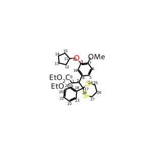 CCOC(=O)C(C(=O)OCC)C(c1ccc(OC)c(OC2CCCC2)c1)C1(c2ccccc2)SCCCS1